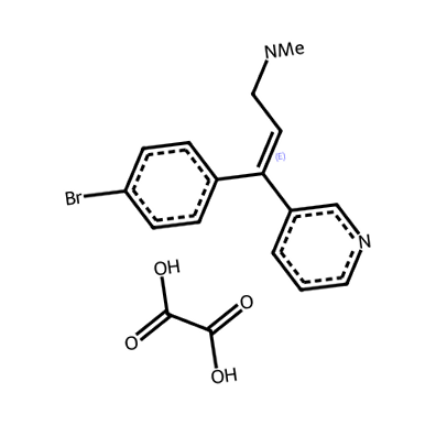 CNC/C=C(\c1ccc(Br)cc1)c1cccnc1.O=C(O)C(=O)O